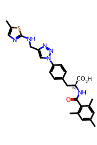 Cc1cc(C)c(C(=O)N[C@@H](Cc2ccc(-n3cc(CNc4ncc(C)s4)nn3)cc2)C(=O)O)c(C)c1